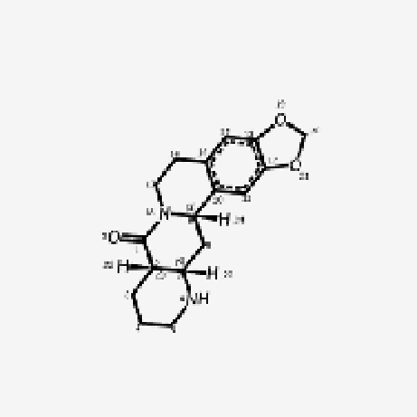 O=C1[C@H]2CCCN[C@H]2C[C@H]2c3cc4c(cc3CCN12)OCO4